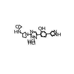 Cl.Cl.Oc1cc(-c2cn[nH]c2)ccc1-c1cnc(N2CCC(NC3CCO3)C2)nn1